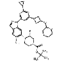 Cc1cc2cnn(-c3cc(N4CC(OC5CCCCO5)C4)nc(C4CC4)n3)c2cc1[C@H]1CCN(C(=O)OC(C)(C)C)C[C@H]1F